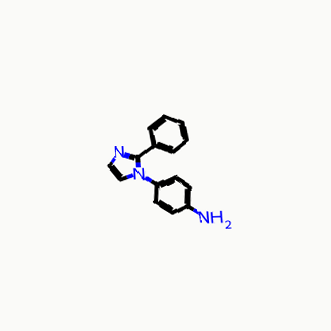 Nc1ccc(-n2ccnc2-c2ccccc2)cc1